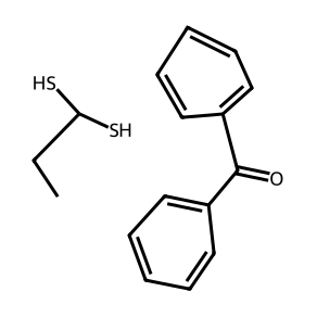 CCC(S)S.O=C(c1ccccc1)c1ccccc1